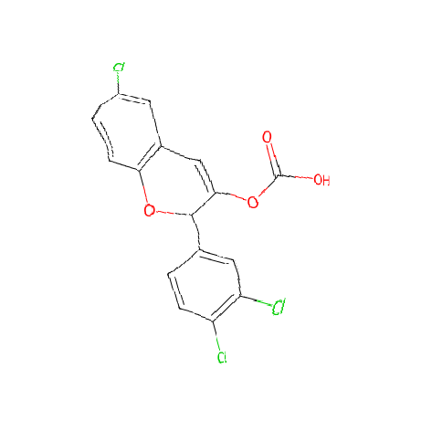 O=C(O)OC1=Cc2cc(Cl)ccc2OC1c1ccc(Cl)c(Cl)c1